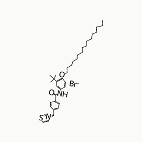 CCCCCCCCCCCCCCCCOc1ccc(NC(=O)c2ccc(C[n+]3ccsc3)cc2)cc1C(C)(C)C.[Br-]